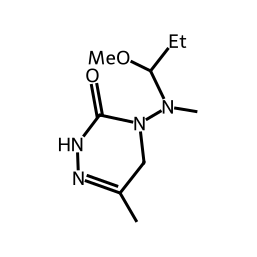 CCC(OC)N(C)N1CC(C)=NNC1=O